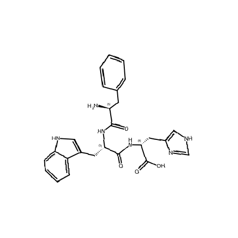 N[C@@H](Cc1ccccc1)C(=O)N[C@@H](Cc1c[nH]c2ccccc12)C(=O)N[C@H](Cc1c[nH]cn1)C(=O)O